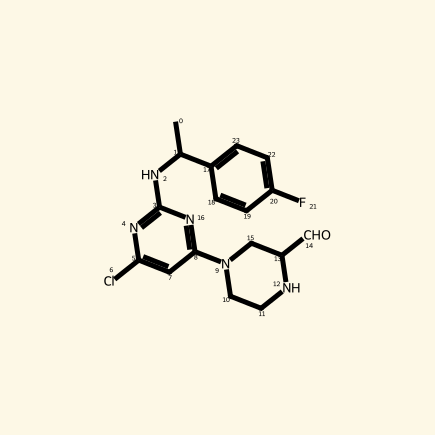 CC(Nc1nc(Cl)cc(N2CCNC(C=O)C2)n1)c1ccc(F)cc1